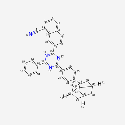 N#Cc1cccc2ccc(-c3nc(-c4ccccc4)nc(-c4ccc(C56C[C@H]7C[C@H](C5)C[C@@H](C6)C7)cc4)n3)cc12